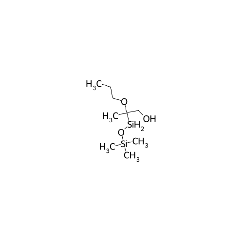 CCCOC(C)(CO)[SiH2]O[Si](C)(C)C